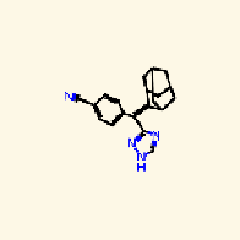 N#Cc1ccc(C(=C2C3CC4CC(C3)CC2C4)c2nc[nH]n2)cc1